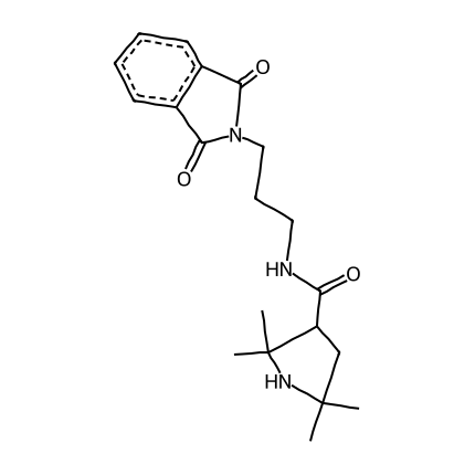 CC1(C)CC(C(=O)NCCCN2C(=O)c3ccccc3C2=O)C(C)(C)N1